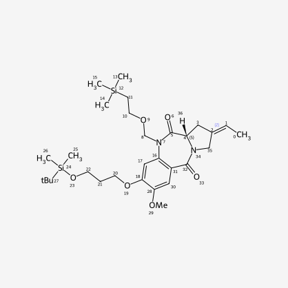 C/C=C1/C[C@H]2C(=O)N(COCC[Si](C)(C)C)c3cc(OCCCO[Si](C)(C)C(C)(C)C)c(OC)cc3C(=O)N2C1